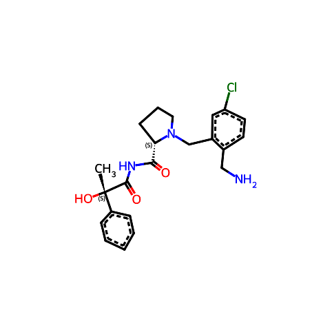 C[C@@](O)(C(=O)NC(=O)[C@@H]1CCCN1Cc1cc(Cl)ccc1CN)c1ccccc1